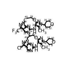 Cc1c2c(nn1C1CCOCC1)OCC([n+]1cc3c(C(F)(F)F)nn4c3nc1Nc1c(nn(C3CCOCC3)c1C)OCCC4)Cn1nc(Cl)c3cnc(nc31)N2